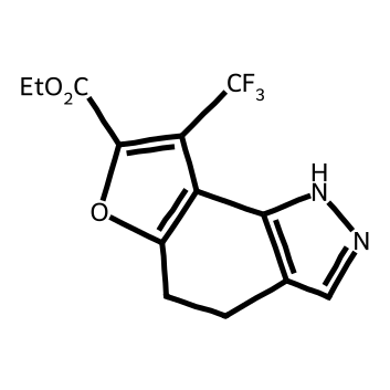 CCOC(=O)c1oc2c(c1C(F)(F)F)-c1[nH]ncc1CC2